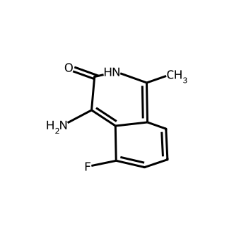 Cc1[nH]c(=O)c(N)c2c(F)cccc12